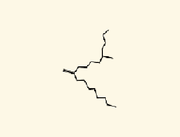 C=C(CCCCCCCC)CCCCC(C)CCCC